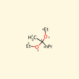 CCCC(C)(OCC)OCC